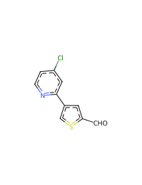 O=Cc1cc(-c2cc(Cl)ccn2)cs1